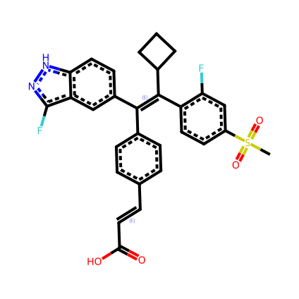 CS(=O)(=O)c1ccc(/C(=C(\c2ccc(/C=C/C(=O)O)cc2)c2ccc3[nH]nc(F)c3c2)C2CCC2)c(F)c1